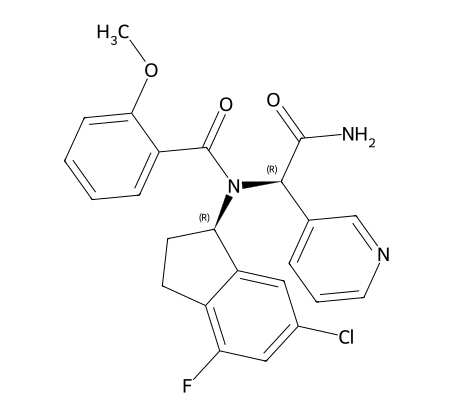 COc1ccccc1C(=O)N([C@@H]1CCc2c(F)cc(Cl)cc21)[C@@H](C(N)=O)c1cccnc1